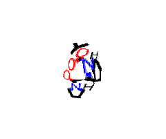 CC(C)(C)OC(=O)N1[C@@H]2CC[C@H](C2)[C@H]1C(=O)N1CCCC1